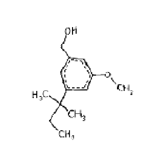 CCC(C)(C)c1cc(CO)cc(OC)c1